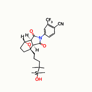 CC(C)(CCC[C@@]12CC[C@@H](O1)[C@H]1C(=O)N(c3ccc(C#N)c(C(F)(F)F)c3)C(=O)[C@H]12)[Si](C)(C)O